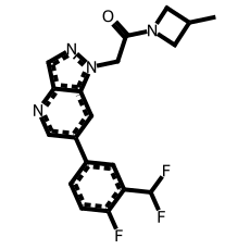 CC1CN(C(=O)Cn2ncc3ncc(-c4ccc(F)c(C(F)F)c4)cc32)C1